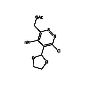 CCCc1c(COC(C)=O)nnc(Cl)c1C1OCCO1